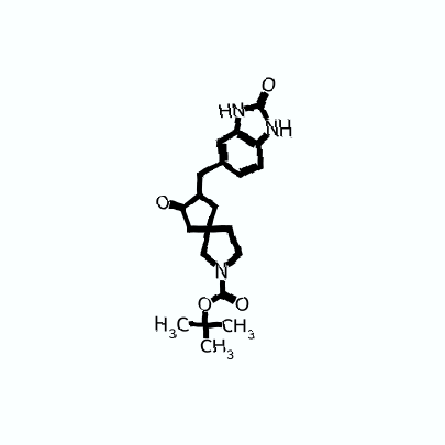 CC(C)(C)OC(=O)N1CCC2(CC(=O)C(Cc3ccc4[nH]c(=O)[nH]c4c3)C2)C1